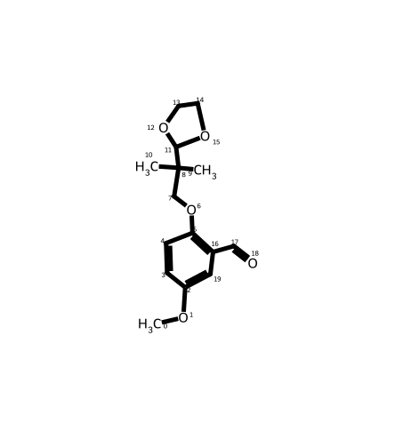 COc1ccc(OCC(C)(C)C2OCCO2)c(C=O)c1